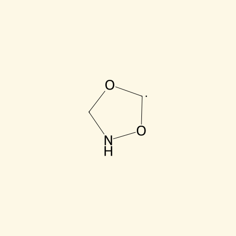 [CH]1OCNO1